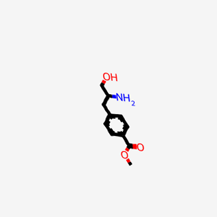 COC(=O)c1ccc(CC(N)CO)cc1